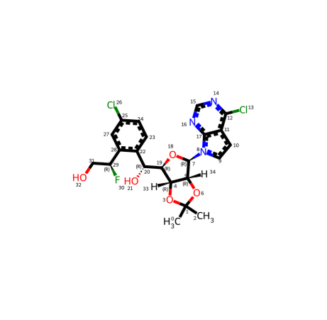 CC1(C)O[C@H]2[C@@H](O1)[C@H](n1ccc3c(Cl)ncnc31)O[C@@H]2[C@H](O)c1ccc(Cl)cc1[C@@H](F)CO